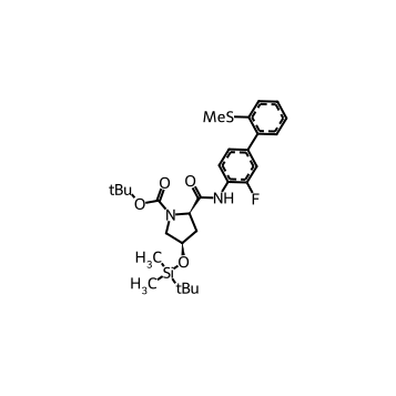 CSc1ccccc1-c1ccc(NC(=O)[C@H]2C[C@@H](O[Si](C)(C)C(C)(C)C)CN2C(=O)OC(C)(C)C)c(F)c1